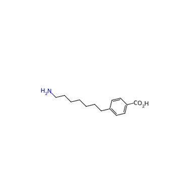 NCCCCCCCc1ccc(C(=O)O)cc1